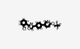 FC(F)(F)COc1ccc(-c2ccc(C3COC(c4ccccc4Cl)=N3)cc2)cn1